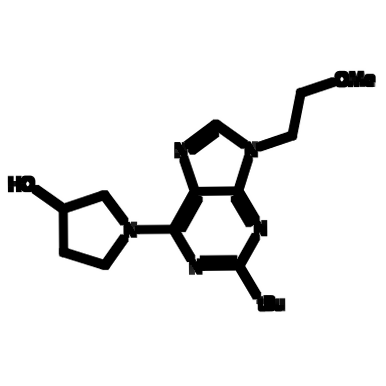 COCCn1cnc2c(N3CCC(O)C3)nc(C(C)(C)C)nc21